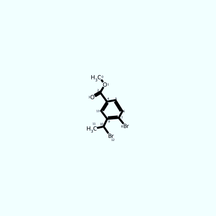 COC(=O)c1ccc(Br)c(C(C)Br)c1